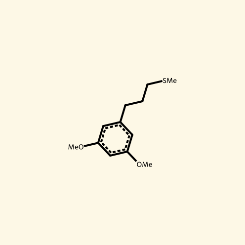 COc1cc(CCCSC)cc(OC)c1